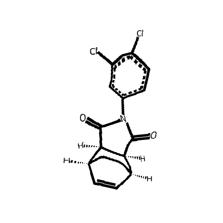 O=C1[C@@H]2[C@H](C(=O)N1c1ccc(Cl)c(Cl)c1)[C@@H]1C=C[C@H]2CC1